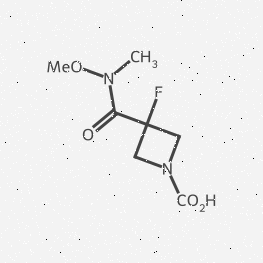 CON(C)C(=O)C1(F)CN(C(=O)O)C1